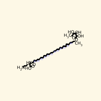 CC(C/C=C/C=C/C=C/C=C/C=C/C=C/C=C/C=C/C=C/C=C/C=C/C=C/C(=O)N[C@@H](CCCN)C(=O)O)O[C@@H]1O[C@@H](C)[C@H](O)[C@@H](O)[C@H]1O